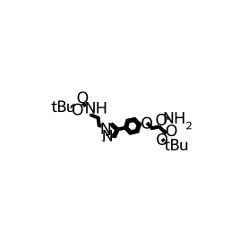 C[n+]1cc(-c2ccc(OCC(ON)C(=O)OC(C)(C)C)cc2)cn1CCCNC(=O)OC(C)(C)C